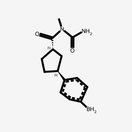 Bc1ccc([C@H]2CC[C@H](C(=O)N(C)C(N)=O)C2)cc1